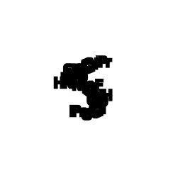 Cc1n[nH]c2nc(-c3ccc(NS(=O)(=O)c4cc(OC(C)C)ccn4)c(F)c3)nc(OC3CCN(C(C)C)CC3)c12